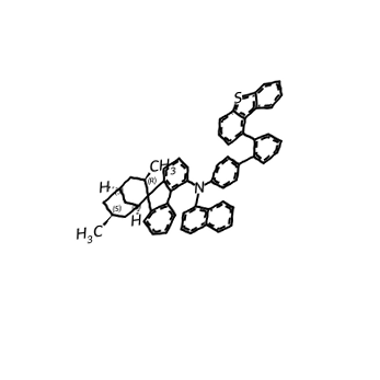 C[C@H]1C[C@@H]2C[C@H](C1)C1(c3ccccc3-c3c(N(c4ccc(-c5ccccc5-c5cccc6sc7ccccc7c56)cc4)c4cccc5ccccc45)cccc31)[C@H](C)C2